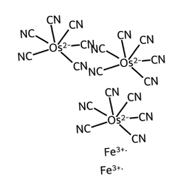 N#[C][Os-2]([C]#N)([C]#N)([C]#N)([C]#N)[C]#N.N#[C][Os-2]([C]#N)([C]#N)([C]#N)([C]#N)[C]#N.N#[C][Os-2]([C]#N)([C]#N)([C]#N)([C]#N)[C]#N.[Fe+3].[Fe+3]